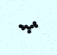 c1ccc(-c2nc(-c3ccc(-n4c5ccccc5c5ccccc54)cc3)cc(-c3cccc(-c4cccc5c4sc4ccccc45)c3)n2)cc1